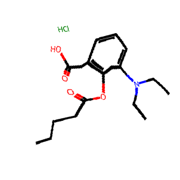 CCCCC(=O)Oc1c(C(=O)O)cccc1N(CC)CC.Cl